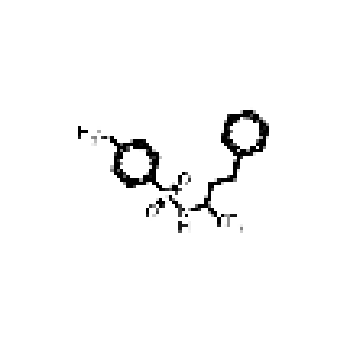 Cc1ccc(S(=O)(=O)NC(CCc2ccccc2)C(F)(F)F)cc1